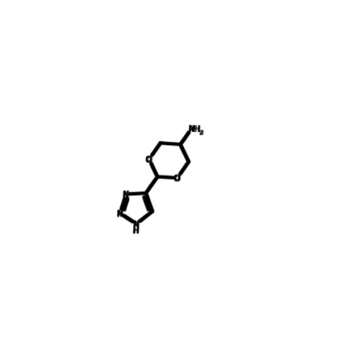 NC1COC(c2c[nH]nn2)OC1